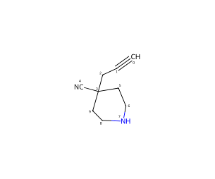 C#CCC1(C#N)CCNCC1